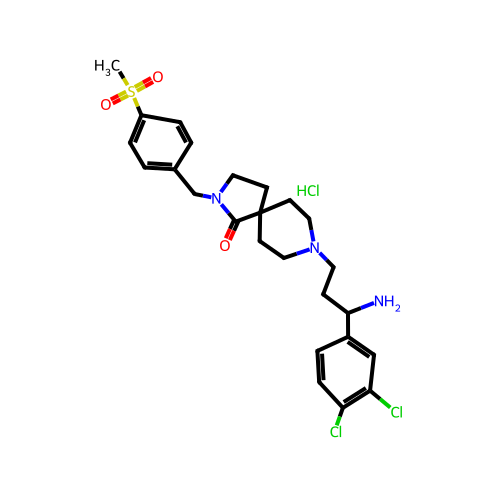 CS(=O)(=O)c1ccc(CN2CCC3(CCN(CCC(N)c4ccc(Cl)c(Cl)c4)CC3)C2=O)cc1.Cl